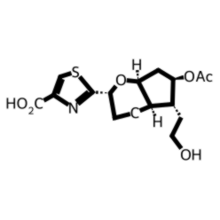 CC(=O)O[C@@H]1C[C@@H]2O[C@@H](c3nc(C(=O)O)cs3)CC[C@@H]2[C@H]1CCO